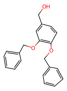 OCc1ccc(OCc2ccccc2)c(OCc2ccccc2)c1